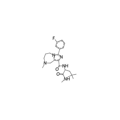 CNC(=O)C(CC(C)(C)C)NC(=O)c1nc(-c2cccc(F)c2)n2c1CN(C)CCC2